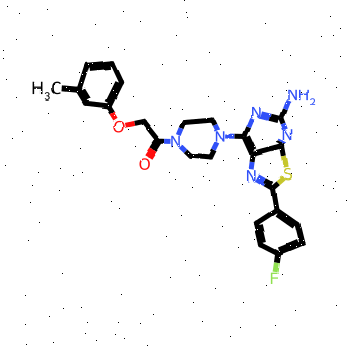 Cc1cccc(OCC(=O)N2CCN(c3nc(N)nc4sc(-c5ccc(F)cc5)nc34)CC2)c1